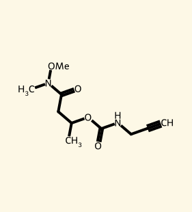 C#CCNC(=O)OC(C)CC(=O)N(C)OC